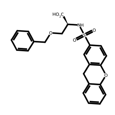 O=C(O)[C@H](COCc1ccccc1)NS(=O)(=O)c1ccc2c(c1)Cc1ccccc1O2